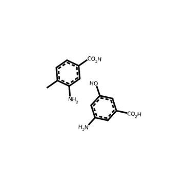 Cc1ccc(C(=O)O)cc1N.Nc1cc(O)cc(C(=O)O)c1